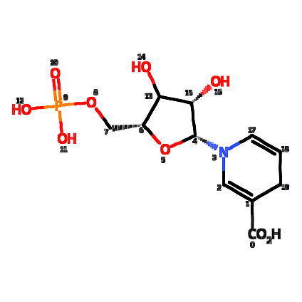 O=C(O)C1=CN([C@@H]2O[C@H](COP(=O)(O)O)C(O)[C@@H]2O)C=CC1